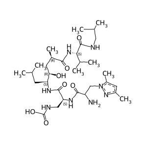 Cc1cc(C)n(CC(N)C(=O)N[C@@H](CNC(=O)O)C(=O)N[C@@H](CC(C)C)[C@H](O)C[C@@H](C)C(=O)N[C@H](C(=O)NCC(C)C)C(C)C)n1